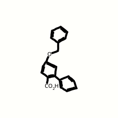 O=C(O)c1ccc(OCc2ccccc2)cc1-c1ccccc1